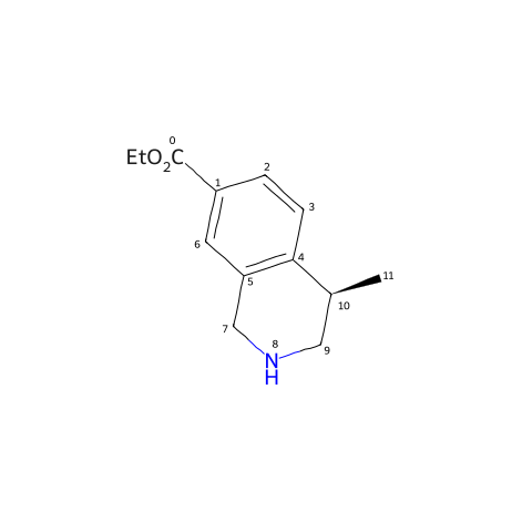 CCOC(=O)c1ccc2c(c1)CNC[C@@H]2C